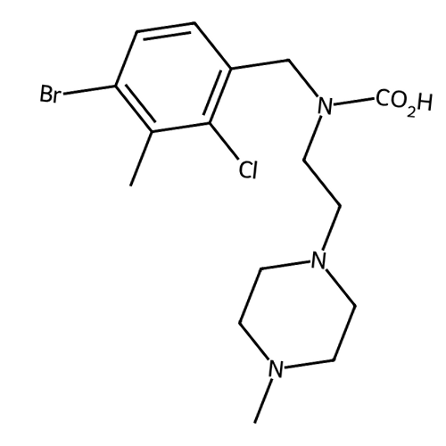 Cc1c(Br)ccc(CN(CCN2CCN(C)CC2)C(=O)O)c1Cl